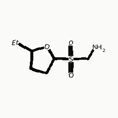 CCC1CCC(S(=O)(=O)CN)O1